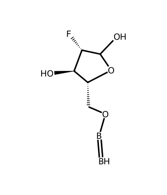 B=BOC[C@H]1OC(O)[C@@H](F)[C@@H]1O